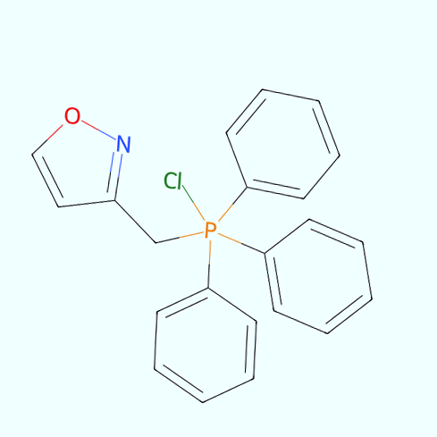 ClP(Cc1ccon1)(c1ccccc1)(c1ccccc1)c1ccccc1